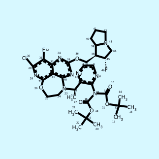 C[C@H](c1nccnc1N(C(=O)OC(C)(C)C)C(=O)OC(C)(C)C)N1CCOc2nc(Cl)c(F)c3nc(OC[C@H]4C5CCCN5C[C@@H]4F)nc1c23